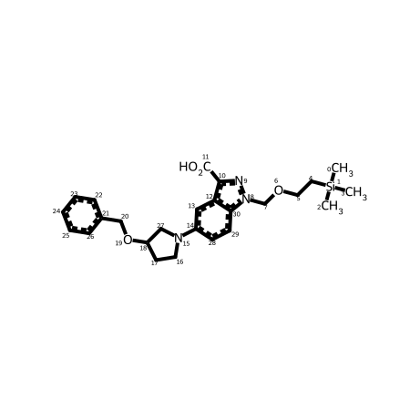 C[Si](C)(C)CCOCn1nc(C(=O)O)c2cc(N3CCC(OCc4ccccc4)C3)ccc21